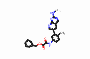 CNc1ncc2cc(-c3cc(NC(=O)C(=O)OCc4ccccc4)ccc3C)cnc2n1